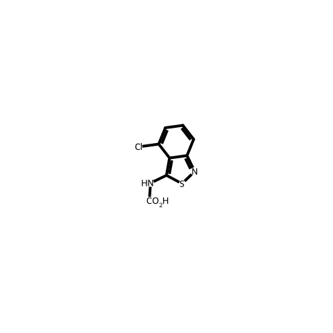 O=C(O)Nc1snc2cccc(Cl)c12